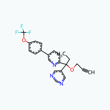 C#CCOC(CC)(c1cncnc1)c1ccc(-c2ccc(OC(F)(F)F)cc2)cn1